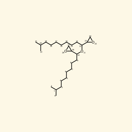 CC(C)CCCCCCCC(OC(CCCCCCCC(C)C)C1CO1)C1CO1